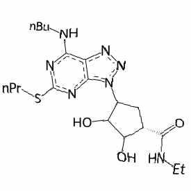 CCCCNc1nc(SCCC)nc2c1nnn2C1C[C@H](C(=O)NCC)C(O)C1O